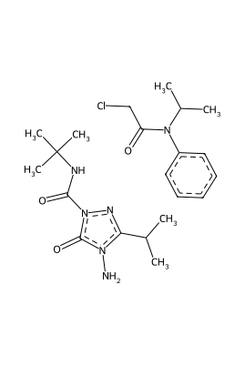 CC(C)N(C(=O)CCl)c1ccccc1.CC(C)c1nn(C(=O)NC(C)(C)C)c(=O)n1N